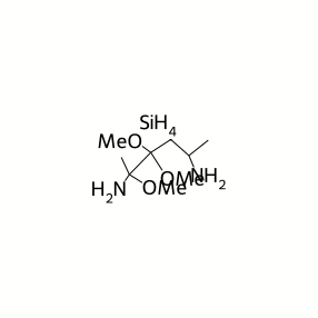 COC(C)(N)C(CC(C)N)(OC)OC.[SiH4]